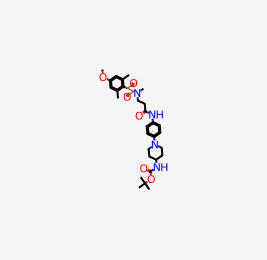 COc1cc(C)c(S(=O)(=O)N(C)CCC(=O)Nc2ccc(N3CCC(NC(=O)OC(C)(C)C)CC3)cc2)c(C)c1